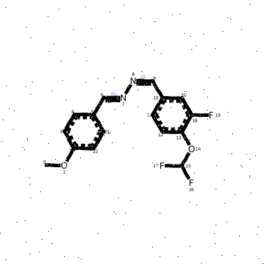 COc1ccc(/C=N/N=C\c2ccc(OC(F)F)c(F)c2)cc1